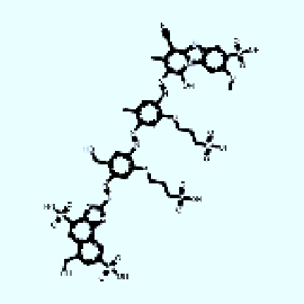 COc1cc2c(cc1S(=O)(=O)O)nc1c(C#N)c(C)c(N=Nc3cc(C)c(N=Nc4cc(CO)c(N=Nc5nc6c(S(=O)(=O)O)cc7c(CO)cc(S(=O)(=O)O)cc7c6s5)cc4SCCCS(=O)(=O)O)cc3OCCCS(=O)(=O)O)c(O)n12